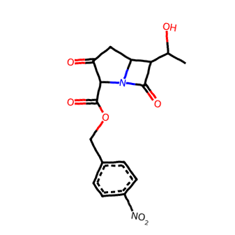 CC(O)C1C(=O)N2C(C(=O)OCc3ccc([N+](=O)[O-])cc3)C(=O)CC12